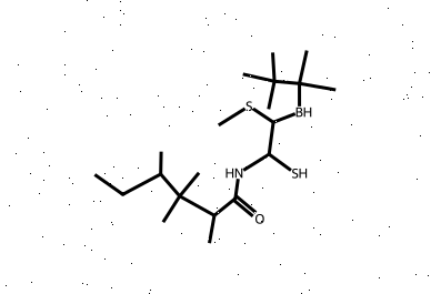 CCC(C)C(C)(C)C(C)C(=O)NC(S)C(BC(C)(C)C(C)(C)C)SC